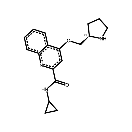 O=C(NC1CC1)c1cc(OC[C@H]2CCCN2)c2ccccc2n1